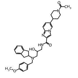 COc1ccc(CN(CC(O)CNC(=O)c2cn3cc(C4CCN(C(C)=O)CC4)ccc3n2)C2Cc3ccccc3C2)cc1